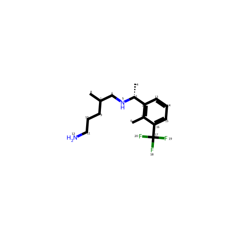 Cc1c([C@@H](C)NCC(C)CCCN)cccc1C(F)(F)F